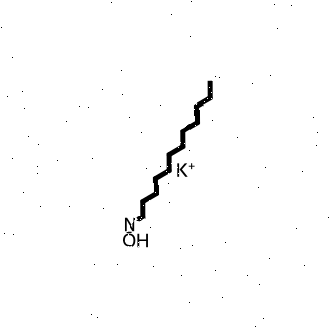 CCCCCCCCCCCC[N-]O.[K+]